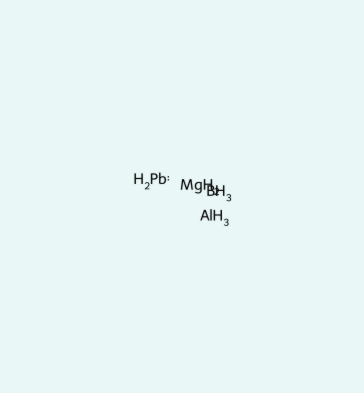 B.[AlH3].[MgH2].[PbH2]